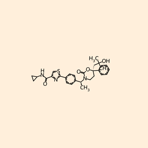 C[C@@H](c1ccc(-c2nc(C(=O)NC3CC3)cs2)cc1)N1CC[C@](CC(C)(C)O)(c2ccccc2)OC1=O